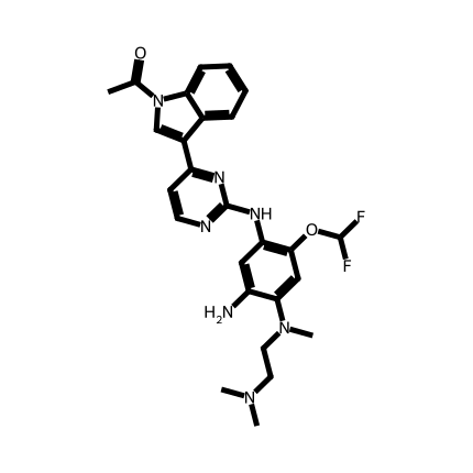 CC(=O)n1cc(-c2ccnc(Nc3cc(N)c(N(C)CCN(C)C)cc3OC(F)F)n2)c2ccccc21